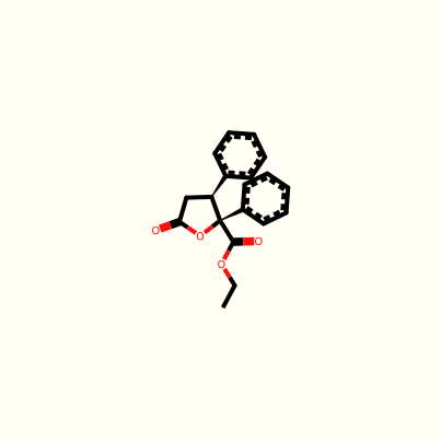 CCOC(=O)[C@]1(c2ccccc2)OC(=O)C[C@H]1c1ccccc1